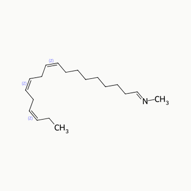 CC/C=C\C/C=C\C/C=C\CCCCCCCC=NC